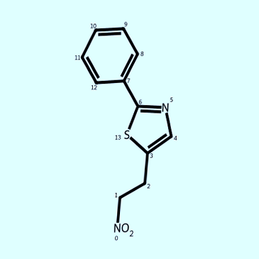 O=[N+]([O-])CCc1cnc(-c2ccccc2)s1